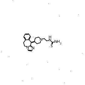 NC(=S)NCCN1CCC(=C2c3ccccc3CCn3ccnc32)CC1